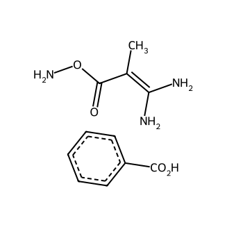 CC(C(=O)ON)=C(N)N.O=C(O)c1ccccc1